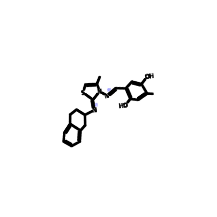 Cc1cc(O)c(/C=N/n2c(C)cs/c2=N\C2CCc3ccccc3C2)cc1O